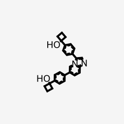 OC1(c2ccc(-c3ccc4ncc(-c5ccc(C6(O)CCC6)cc5)n4c3)cc2)CCC1